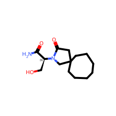 NC(=O)[C@H](CO)N1CC2(CCCCCCC2)CC1=O